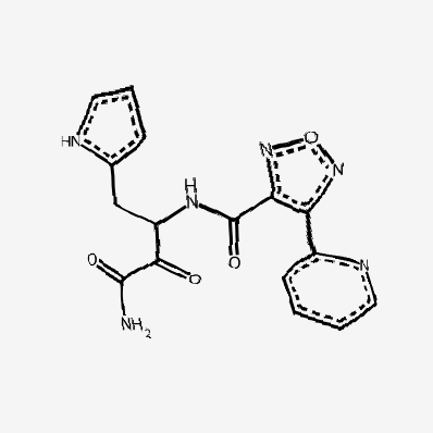 NC(=O)C(=O)C(Cc1ccc[nH]1)NC(=O)c1nonc1-c1ccccn1